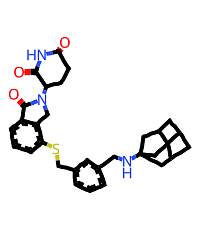 O=C1CCC(N2Cc3c(SCc4cccc(CNC56CC7CC8CC(C5)C87C6)c4)cccc3C2=O)C(=O)N1